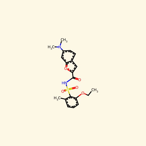 CCOc1cccc(C)c1S(=O)(=O)NC(=O)c1cc2ccc(N(C)C)cc2o1